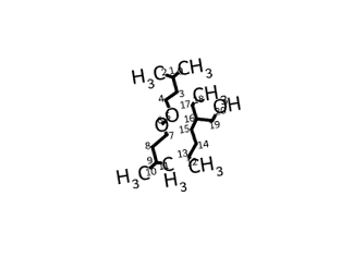 CC(C)CCOOCCC(C)C.CCCCC(CC)CO